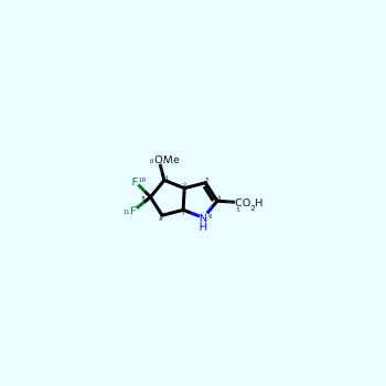 COC1C2C=C(C(=O)O)NC2CC1(F)F